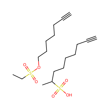 C#CCCCCCC(C)S(=O)(=O)O.C#CCCCCCOS(=O)(=O)CC